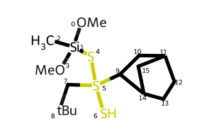 CO[Si](C)(OC)SS(S)(CC(C)(C)C)C1CC2CCC1C2